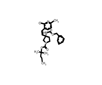 CCCC(C)(C)OC(=O)N1CC[C@](/C=C\c2ccc(C)nc2Cl)(NC(=O)OCc2ccccc2)C1